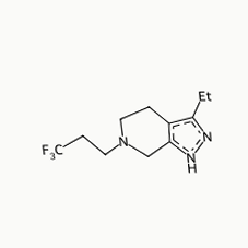 CCc1n[nH]c2c1CCN(CCC(F)(F)F)C2